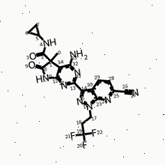 CC1(C(=O)NC2CC2)C(=O)Nc2nc(-c3nn(CCC(F)(F)F)c4nc(C#N)ccc34)nc(N)c21